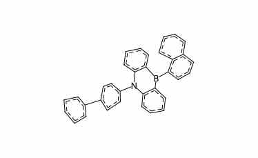 c1ccc(-c2ccc(N3c4ccccc4B(c4cccc5ccccc45)c4ccccc43)cc2)cc1